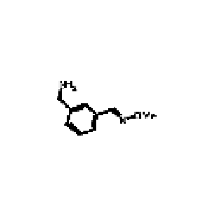 CON=Cc1cc[c]c(CN)c1